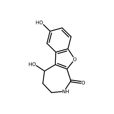 O=C1NCCC(O)c2c1oc1ccc(O)cc21